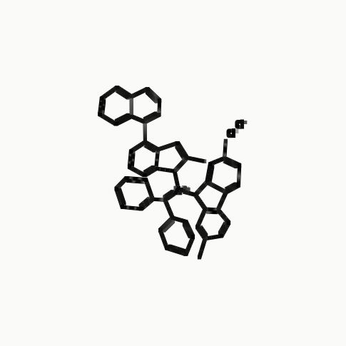 CC1=Cc2c(-c3cccc4ccccc34)cccc2[CH]1[Zr+2](=[C](c1ccccc1)c1ccccc1)[CH]1c2cc(C)ccc2-c2ccc(C)cc21.[Cl-].[Cl-]